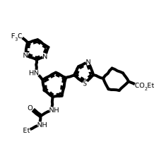 CCNC(=O)Nc1cc(Nc2nccc(C(F)(F)F)n2)cc(-c2cnc(C3CCC(C(=O)OCC)CC3)s2)c1